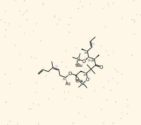 C=CC/C(C)=C\C[C@H](OC(=O)C[C@H](O[Si](C)(C)C(C)(C)C)C(C)(C)C(=O)[C@H](C)[C@@H](O[Si](C)(C)C(C)(C)C)[C@@H](C)/C=C/C)C(C)=O